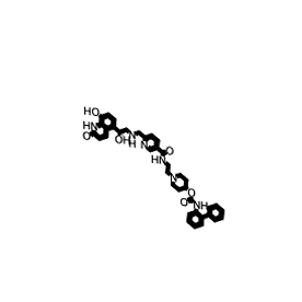 O=C(Nc1ccccc1-c1ccccc1)OC1CCN(CCNC(=O)c2ccc(CNC[C@@H](O)c3ccc(O)c4[nH]c(=O)ccc34)nc2)CC1